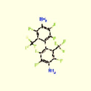 Nc1c(F)c(F)c(-c2c(F)c(F)c(N)c(F)c2C(F)(F)F)c(C(F)(F)F)c1F